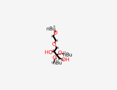 CCCCOCCOCC(O)C(CO)(OCCCC)OCCCC